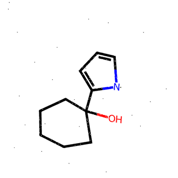 OC1(C2=CC=C[N]2)CCCCC1